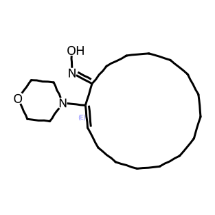 ON=C1CCCCCCCCCCCCC/C=C\1N1CCOCC1